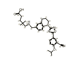 CC(C)Oc1ccc(-c2nc(N3CCCc4cc(CNCC(C)(C)CCC(=O)O)ccc43)no2)cc1C#N